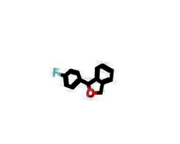 Fc1ccc(C2OCc3ccccc32)cc1